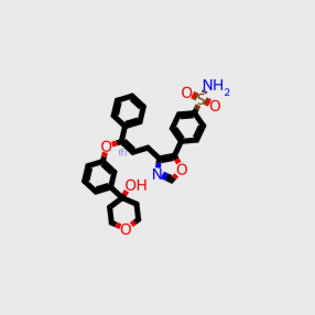 NS(=O)(=O)c1ccc(-c2ocnc2C/C=C(/Oc2cccc(C3(O)CCOCC3)c2)c2ccccc2)cc1